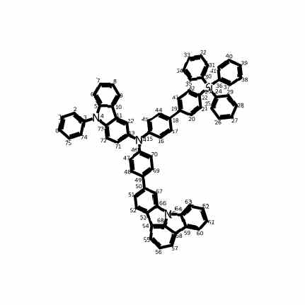 c1ccc(-n2c3ccccc3c3cc(N(c4ccc(-c5ccc([Si](c6ccccc6)(c6ccccc6)c6ccccc6)cc5)cc4)c4ccc(-c5ccc6c7cccc8c9ccccc9n(c6c5)c87)cc4)ccc32)cc1